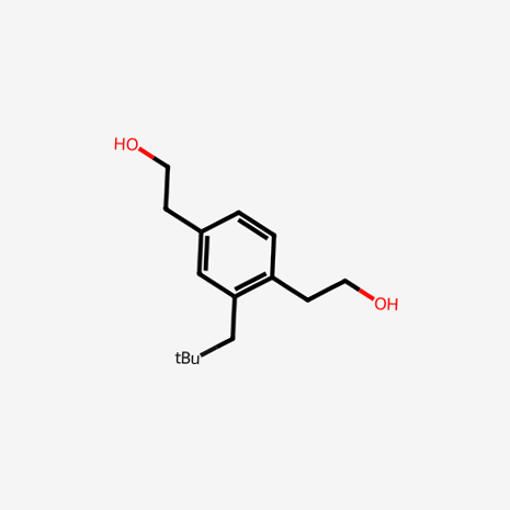 CC(C)(C)Cc1cc(CCO)ccc1CCO